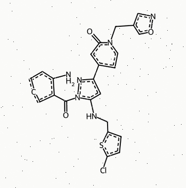 Nc1ccccc1C(=O)n1nc(-c2ccn(Cc3cnoc3)c(=O)c2)cc1NCc1ccc(Cl)s1